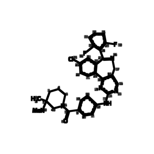 CNC1(C)CCCN(C(=O)c2ccc(Nc3ncc4c(n3)-c3ccc(Cl)cc3C(c3c(F)cccc3F)=NC4)cc2)C1